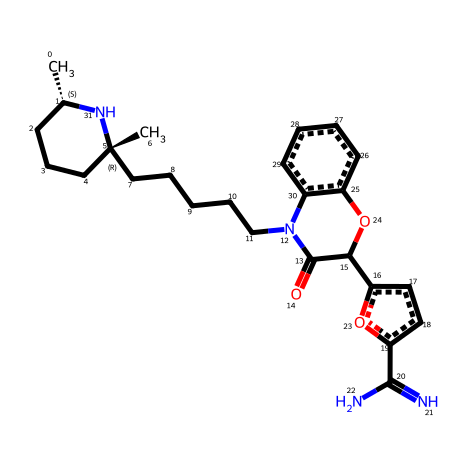 C[C@H]1CCC[C@@](C)(CCCCCN2C(=O)C(c3ccc(C(=N)N)o3)Oc3ccccc32)N1